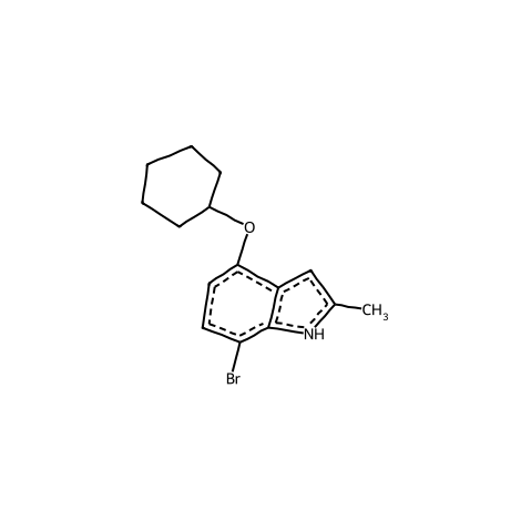 Cc1cc2c(OC3CCCCC3)ccc(Br)c2[nH]1